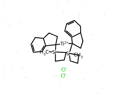 C[Si]1([C]2([Ti+2][C]3([Si]4(C)CCC4)CCC4CC=CC=C43)CCC3CC=CC=C32)CCC1.[Cl-].[Cl-]